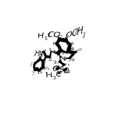 COc1cc2c(cc1OC)[C@H](CCc1c[nH]c3ccccc13)N(CCS(C)(=O)=O)CC2